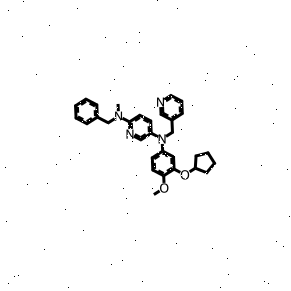 COc1ccc(N(Cc2cccnc2)c2ccc(N(C)Cc3ccccc3)nc2)cc1OC1CCCC1